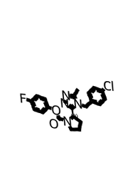 Cc1nnc([C@H]2CCCN2C(=O)Oc2ccc(F)cc2)n1Cc1ccc(Cl)cc1